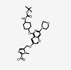 Cn1c(COc2cnc3cc(N4CCOCC4)nc(OC4CCC(NC(=O)OC(C)(C)C)CC4)c3c2)cnc1[N+](=O)[O-]